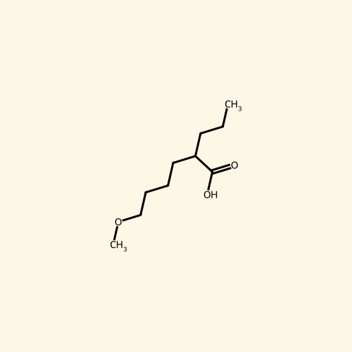 CCCC(CCCCOC)C(=O)O